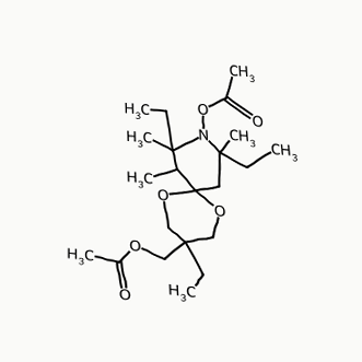 CCC1(COC(C)=O)COC2(CC(C)(CC)N(OC(C)=O)C(C)(CC)C2C)OC1